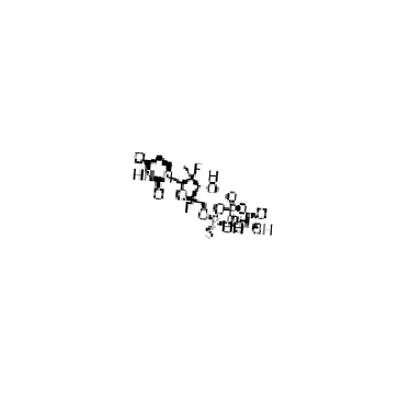 C[C@]1(F)[C@H](n2ccc(=O)[nH]c2=O)O[C@](F)(COP(O)(=S)OP(=O)(O)OP(=O)(O)O)[C@H]1O